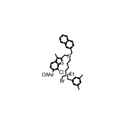 CC[N+](CBr)(CCCCN(Cc1ccc2ccccc2c1)Cc1sc2c(Cl)c(OC)ccc2c1C)Cc1cc(C)cc(C)c1